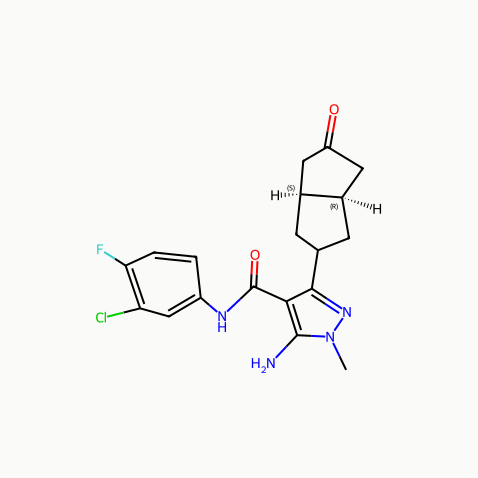 Cn1nc(C2C[C@H]3CC(=O)C[C@H]3C2)c(C(=O)Nc2ccc(F)c(Cl)c2)c1N